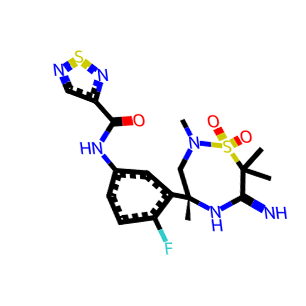 CN1C[C@@](C)(c2cc(NC(=O)c3cnsn3)ccc2F)NC(=N)C(C)(C)S1(=O)=O